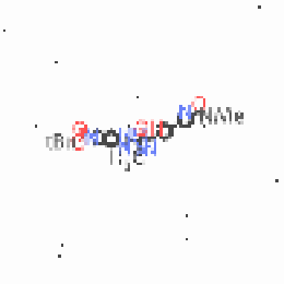 CNC(=O)c1ccc(-c2ccc(-c3nn(C)c(-c4nc5cc6c(cc5[nH]4)CN(C(=O)OC(C)(C)C)C6)c3O)cc2)cn1